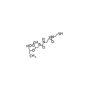 CCC(CO)OC(COC(=O)NCCC(=O)NCCS)OC